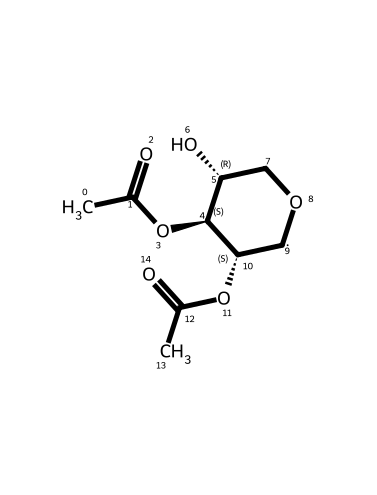 CC(=O)O[C@H]1[C@H](O)CO[CH][C@@H]1OC(C)=O